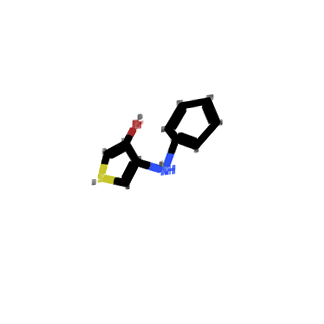 Brc1cscc1Nc1ccccc1